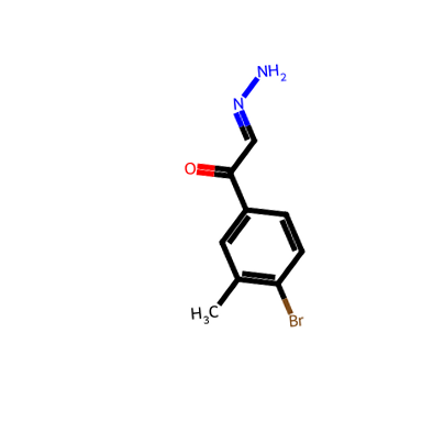 Cc1cc(C(=O)C=NN)ccc1Br